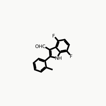 Cc1ccccc1-c1[nH]c2c(F)ccc(F)c2c1C=O